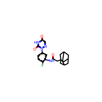 O=C(CC12CC3CC(CC(C3)C1)C2)Nc1cc(-n2ncc(=O)[nH]c2=O)ccc1F